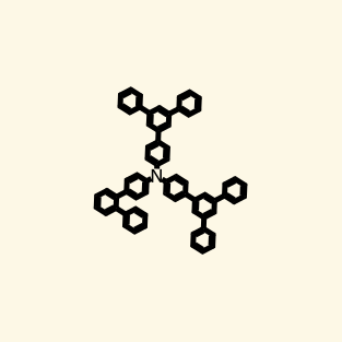 c1ccc(-c2cc(-c3ccccc3)cc(-c3ccc(N(c4ccc(-c5cc(-c6ccccc6)cc(-c6ccccc6)c5)cc4)c4ccc(-c5ccccc5-c5ccccc5)cc4)cc3)c2)cc1